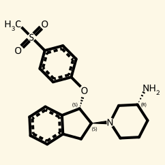 CS(=O)(=O)c1ccc(O[C@H]2c3ccccc3C[C@@H]2N2CCC[C@@H](N)C2)cc1